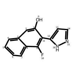 Oc1cc2ccccc2c(F)c1-c1ccn[nH]1